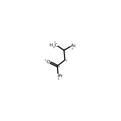 CC(=O)C(C)CC(=O)C(C)C